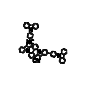 N#Cc1ccc(-n2c3ccccc3c3cc(-c4ccc(-n5c6ccccc6c6ccccc65)cc4)ccc32)c(-c2cc(C#N)ccc2-n2c3ccccc3c3cc(-c4ccc(-n5c6ccccc6c6ccccc65)cc4)ccc32)c1